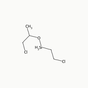 CC(CCl)O[SiH2]CCCl